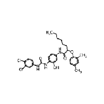 CCCCCCC(Oc1ccc(C)cc1C)C(=O)Nc1ccc(NC(=O)Nc2ccc(Cl)c(Cl)c2)c(O)c1